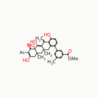 C=C1C2=C(O)[C@@]3(O)C(=O)C(C(C)=O)=C(O)C[C@@]3(C)C[C@@]2(C)Cc2c(-c3cc(C)cc(C(=O)OC)c3)ccc(O)c21